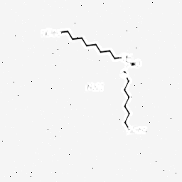 CCCCCCCCCCCCCCCCCCO[PH](=O)OCCCCCCCCCCCCCCCC.[NaH]